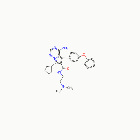 CN(C)CCNC(=O)c1c(-c2ccc(Oc3ccccc3)cc2)c2c(N)ncnn2c1C1CCCC1